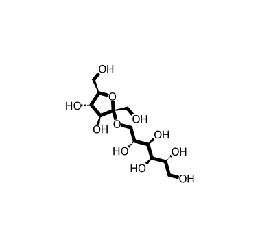 OC[C@@H](O)[C@@H](O)[C@H](O)[C@H](O)CO[C@@]1(CO)O[C@H](CO)[C@@H](O)[C@@H]1O